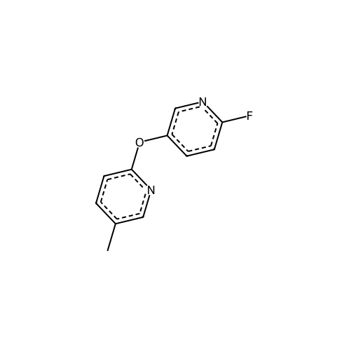 Cc1ccc(Oc2ccc(F)nc2)nc1